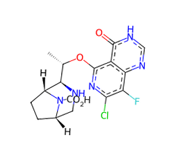 C[C@H](Oc1nc(Cl)c(F)c2nc[nH]c(=O)c12)[C@H]1NC[C@@H]2CC[C@H]1N2C(=O)O